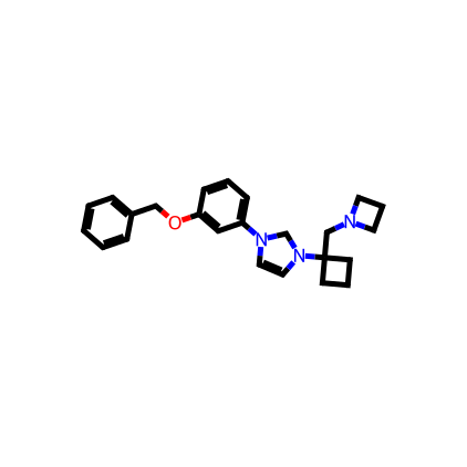 C1=CN(C2(CN3CCC3)CCC2)CN1c1cccc(OCc2ccccc2)c1